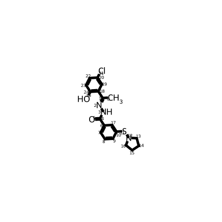 C/C(=N\NC(=O)c1cccc(SN2CCCC2)c1)c1cc(Cl)ccc1O